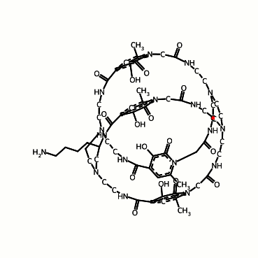 Cc1cc2c(O)c(=O)n1CC(=O)NCCN1CCNC(=O)Cn3c(C)cc(c(O)c3=O)C(=O)NCCN(CCNC2=O)CCN2CCNC(=O)c3cc(C)n(c(=O)c3O)CC(=O)NCCN(CCNC(=O)Cn3c(C)cc(c(O)c3=O)C(=O)NC(CCCCN)C2)CC1